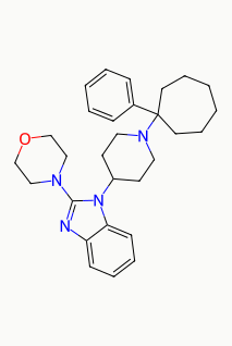 c1ccc(C2(N3CCC(n4c(N5CCOCC5)nc5ccccc54)CC3)CCCCCC2)cc1